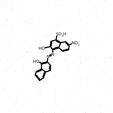 O=[N+]([O-])c1ccc2c(N=Nc3ccc4ccccc4c3O)c(O)cc(S(=O)(=O)O)c2c1